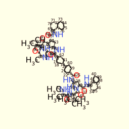 CN[C@@H](C)C(=O)N[C@H](C(=O)C1C[C@@H](NC(=O)c2ccc(-c3ccc(C(=O)N[C@H]4C[C@@H](C(=O)N[C@@H]5CCCc6ccccc65)N(C(=O)[C@@H](NC(=O)[C@H](C)NC)C(C)(C)C)C4)cc3)cc2)C[C@H]1C(=O)N[C@@H]1CCCc2ccccc21)C(C)(C)C